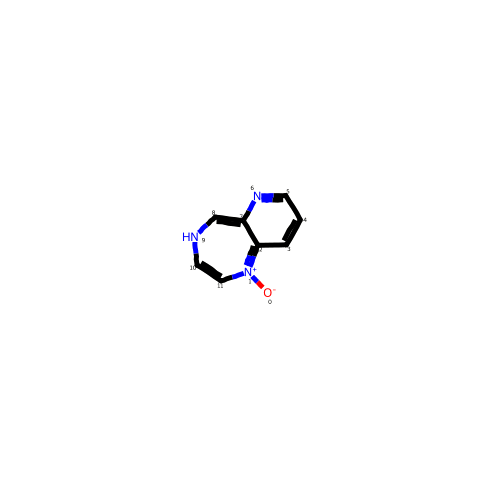 [O-][N+]1=c2cccnc2=CNC=C1